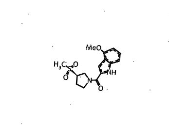 COc1cccc2[nH]c(C(=O)N3CC[C@@H](S(C)(=O)=O)C3)cc12